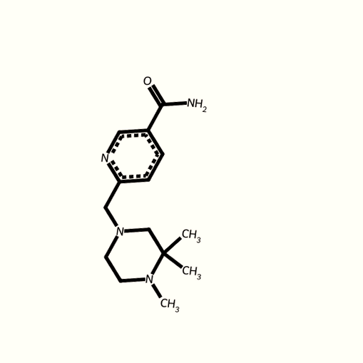 CN1CCN(Cc2ccc(C(N)=O)cn2)CC1(C)C